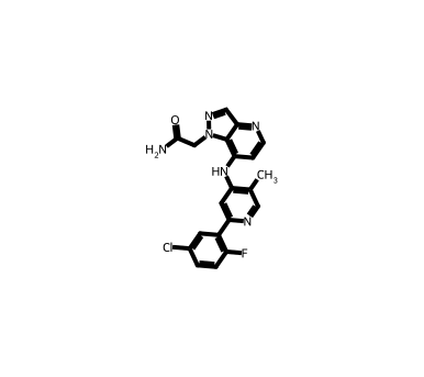 Cc1cnc(-c2cc(Cl)ccc2F)cc1Nc1ccnc2cnn(CC(N)=O)c12